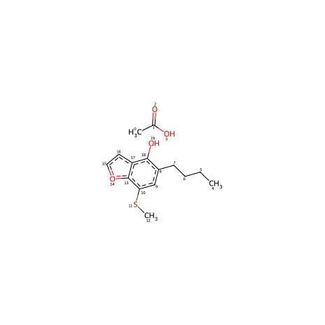 CC(=O)O.CCCCc1cc(SC)c2occc2c1O